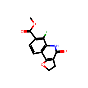 COC(=O)c1ccc2c3c(c(=O)[nH]c2c1F)CCO3